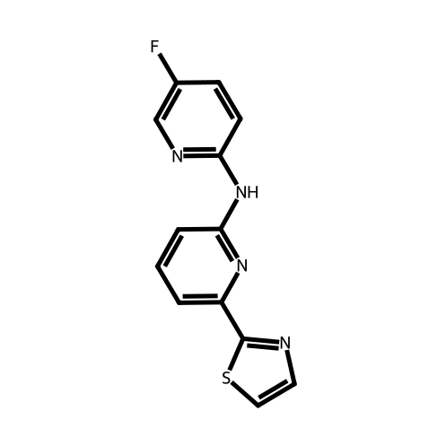 Fc1ccc(Nc2cccc(-c3nccs3)n2)nc1